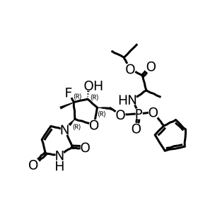 CC(C)OC(=O)C(C)NP(=O)(OC[C@H]1O[C@@H](n2ccc(=O)[nH]c2=O)[C@](C)(F)[C@@H]1O)Oc1ccccc1